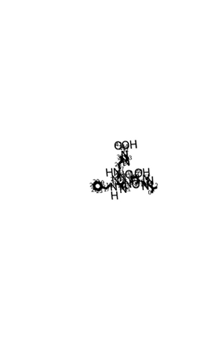 CC(C)n1nnc([C@H]2O[C@@H](n3cnc4c(NCCc5ccccc5)nc(NCCc5cn(C)cn5)nc43)[C@H](O)[C@@H]2O)n1.O=CO